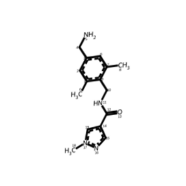 Cc1cc(CN)cc(C)c1CNC(=O)c1cnn(C)c1